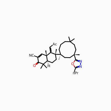 CCCc1nnc([C@@]2(C)CCC(C)(C)CCC[C@](C)([C@]3(C)CC[C@H]4C(C)(C)C(=O)C(C#N)=C[C@]4(C)/C3=C/C(C)=O)CC2)o1